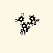 COC(=O)c1cc(Oc2ccc(Cl)cc2Cl)ccc1[N+](=O)[O-].O=C(O)c1ccccc1[N+](=O)[O-]